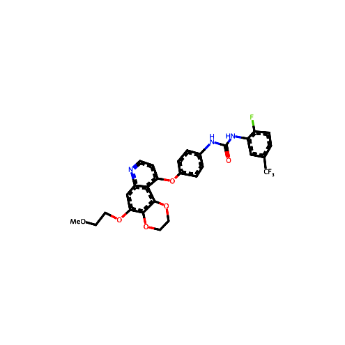 COCCOc1cc2nccc(Oc3ccc(NC(=O)Nc4cc(C(F)(F)F)ccc4F)cc3)c2c2c1OCCO2